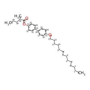 CCCCCCCCCCCCCCOc1ccc(-c2ccc(OC(=O)C(C)CCC)cc2)cc1